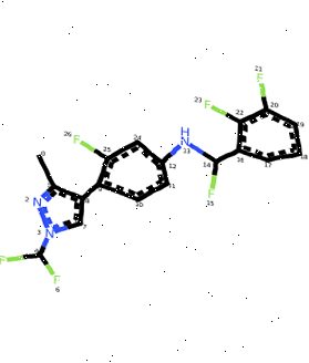 Cc1nn(C(F)F)cc1-c1ccc(NC(F)c2cccc(F)c2F)cc1F